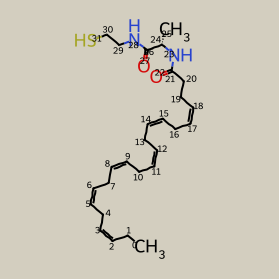 CC/C=C\C/C=C\C/C=C\C/C=C\C/C=C\C/C=C\CCC(=O)N[C@@H](C)C(=O)NCCS